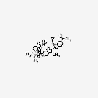 CC(=O)c1ccc2cc(-c3nn4cc(C(=O)N5CC6CCC5(C(C)(C)C)[C@@H]6OC(N)=O)ccc4c3C)n(CC3CC3)c2c1